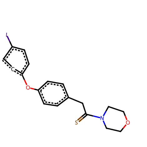 S=C(Cc1ccc(Oc2ccc(I)cc2)cc1)N1CCOCC1